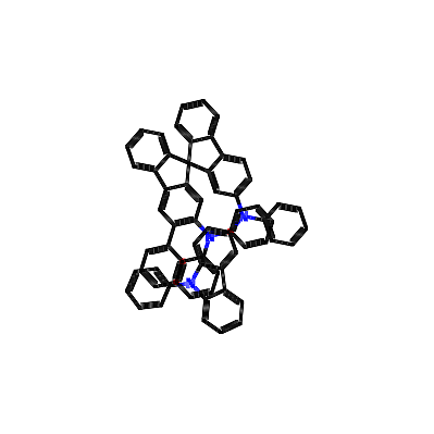 c1ccc(-c2cc3c(cc2N(c2ccccc2)c2ccccc2)C2(c4ccccc4-c4ccc(N(c5ccccc5)c5ccc6c(c5)c5ccccc5n6-c5ccccc5)cc42)c2ccccc2-3)cc1